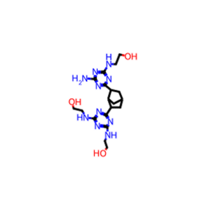 Nc1nc(NCCO)nc(C2CC3CC(c4nc(NCCO)nc(NCCO)n4)C2C3)n1